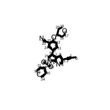 CC#Cc1cnc2c(c1)c(-c1ccc(OC3CCOCC3)c(C#N)c1)cn2S(=O)(=O)c1ccccc1